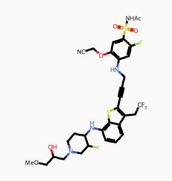 COCC(O)CN1CCC(Nc2cccc3c(CC(F)(F)F)c(C#CCNc4cc(F)c(S(=O)(=O)NC(C)=O)cc4OCC#N)sc23)C(F)C1